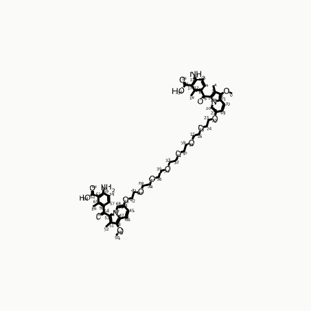 COc1c(C)c(C(=O)c2ccc(N)c(C(=O)O)c2C)n2cc(OCCOCCOCCOCCOCCOCCOCCOc3ccc4c(OC)c(C)c(C(=O)c5ccc(N)c(C(=O)O)c5C)n4c3)ccc12